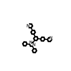 c1ccc(-c2cc(-c3ccccc3)nc(-c3cc(-c4ccc(-c5cccnc5)cc4)cc(-c4ccc(-c5cccnc5)cc4)c3)n2)cc1